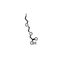 O=C(O)COCCOCCI